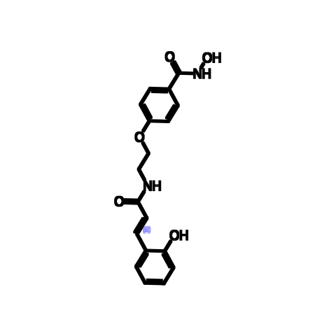 O=C(/C=C/c1ccccc1O)NCCOc1ccc(C(=O)NO)cc1